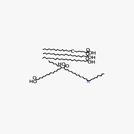 CCCCCCCC/C=C\CCCCCCCCCCCCC(C(=O)O)C(CCCCCCC)CCCCCCCCCCCCCC(=O)O.CCCCCCCCCCCCCCCCCCCCCC(=O)O.CCCCCCCCCCCCCCCCCCCCCC(=O)O.CCCCCCCCCCCCCCCCCCCCCC(=O)O